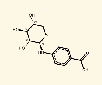 O=C(O)c1ccc(N[C@@H]2OC[C@@H](O)[C@H](O)[C@H]2O)cc1